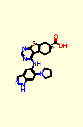 O=C(O)[C@H]1CCc2c(sc3ncnc(Nc4cc5cn[nH]c5cc4N4CCCC4)c23)C1